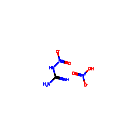 N=C(N)N[N+](=O)[O-].O=[N+]([O-])O